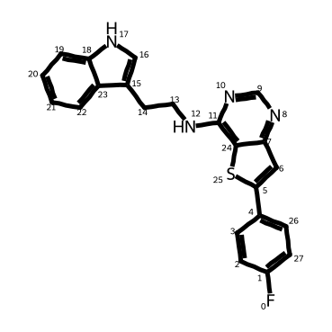 Fc1ccc(-c2cc3ncnc(NCCc4c[nH]c5ccccc45)c3s2)cc1